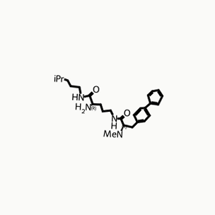 CN[C@H](Cc1ccc(-c2ccccc2)cc1)C(=O)NCCC[C@@H](N)C(=O)NCCCC(C)C